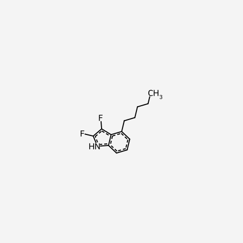 CCCCCc1cccc2[nH]c(F)c(F)c12